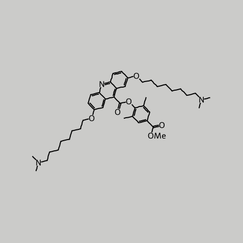 COC(=O)c1cc(C)c(OC(=O)c2c3cc(OCCCCCCCCN(C)C)ccc3nc3ccc(OCCCCCCCCN(C)C)cc23)c(C)c1